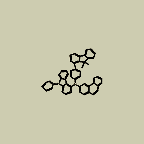 CC1(C)c2ccccc2-c2cccc(-c3ccc(N(c4ccc5ccc6ccccc6c5c4)c4cccc5c4c4ccccc4n5-c4ccccc4)cc3)c21